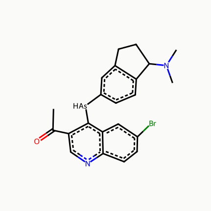 CC(=O)c1cnc2ccc(Br)cc2c1[AsH]c1ccc2c(c1)CCC2N(C)C